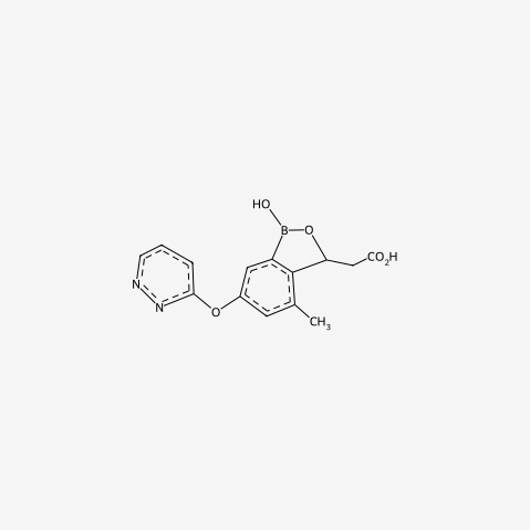 Cc1cc(Oc2cccnn2)cc2c1C(CC(=O)O)OB2O